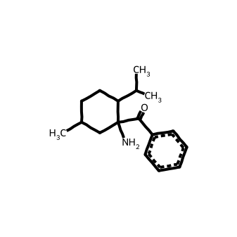 CC1CCC(C(C)C)C(N)(C(=O)c2ccccc2)C1